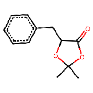 CC1(C)OC(=O)C(Cc2ccccc2)O1